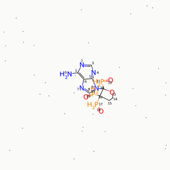 Nc1ncnc2c1ncn2C1([PH2]=O)OCCC1([PH2]=O)[PH2]=O